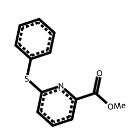 COC(=O)c1cccc(Sc2ccccc2)n1